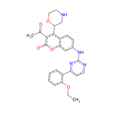 CCOc1ccccc1-c1ccnc(Nc2ccc3c(C4CNCCO4)c(C(C)=O)c(=O)oc3c2)n1